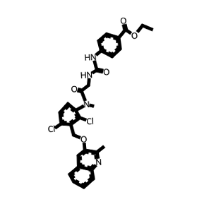 CCOC(=O)c1ccc(NC(=O)NCC(=O)N(C)c2ccc(Cl)c(COc3cc4ccccc4nc3C)c2Cl)cc1